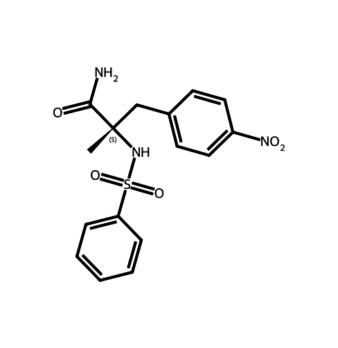 C[C@@](Cc1ccc([N+](=O)[O-])cc1)(NS(=O)(=O)c1ccccc1)C(N)=O